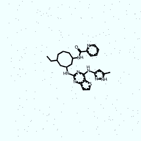 CCC1CCCC(NC(=O)c2ccccn2)CC(Nc2nc(Nc3cc(C)[nH]n3)c3sccc3n2)C1